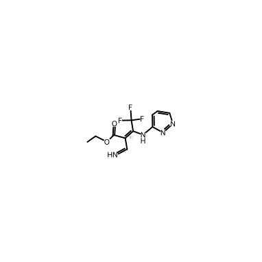 CCOC(=O)/C(C=N)=C(/Nc1cccnn1)C(F)(F)F